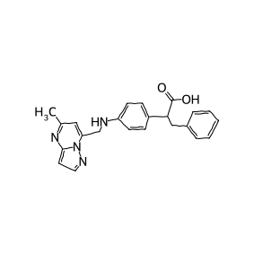 Cc1cc(CNc2ccc(C(Cc3ccccc3)C(=O)O)cc2)n2nccc2n1